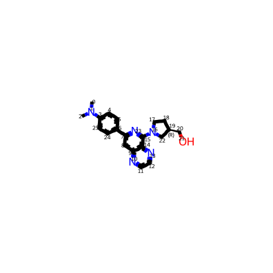 CN(C)c1ccc(-c2cc3nccnc3c(N3CC[C@@H](CO)C3)n2)cc1